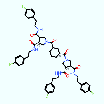 O=C(NCCc1ccc(F)cc1)C1CN(C(=O)C2CCC[C@@H](C(=O)N3CC(C(=O)NCCc4ccc(F)cc4)[C@H](C(=O)NCCc4ccc(F)cc4)C3)C2)C[C@H]1C(=O)NCCc1ccc(F)cc1